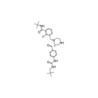 CC(C)(C)CNC(=O)Nc1ccc(C(=O)[C@H]2CNCCN2Cc2cccc(C(=O)NC(C)(C)C)c2F)cc1